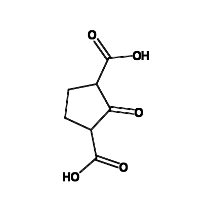 O=C(O)C1CCC(C(=O)O)C1=O